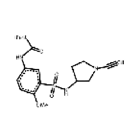 C#CN1CCC(NS(=O)(=O)c2cc(NC(=O)C(C)CCC)ccc2OC)C1